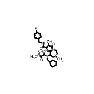 CN1CCn2c(nc(C(=O)NCc3ccc(F)cc3)c(O)c2=O)C(N(CC2CCCCC2)C(=O)C(=O)N(C)C)C1